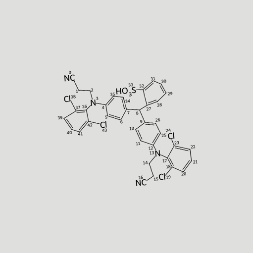 N#CCCN(c1ccc(C(c2ccc(N(CCC#N)c3c(Cl)cccc3Cl)cc2)c2ccccc2S(=O)(=O)O)cc1)c1c(Cl)cccc1Cl